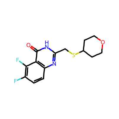 O=c1[nH]c(CSC2CCOCC2)nc2ccc(F)c(F)c12